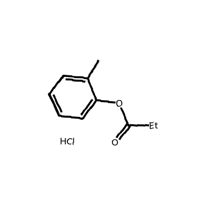 CCC(=O)Oc1ccccc1C.Cl